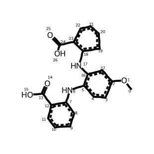 COc1ccc(Nc2ccccc2C(=O)O)c(Nc2ccccc2C(=O)O)c1